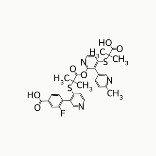 Cc1ccc(-c2c(SC(C)(C)C(=O)O)ccnc2OC(=O)C(C)(C)Sc2ccncc2-c2ccc(C(=O)O)cc2F)cn1